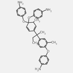 CCC(C)(C1=CC(C)C(Oc2ccc(N)cc2)(Oc2ccc(N)cc2)C=C1)c1ccc(Oc2ccc(N)cc2)c(C)c1